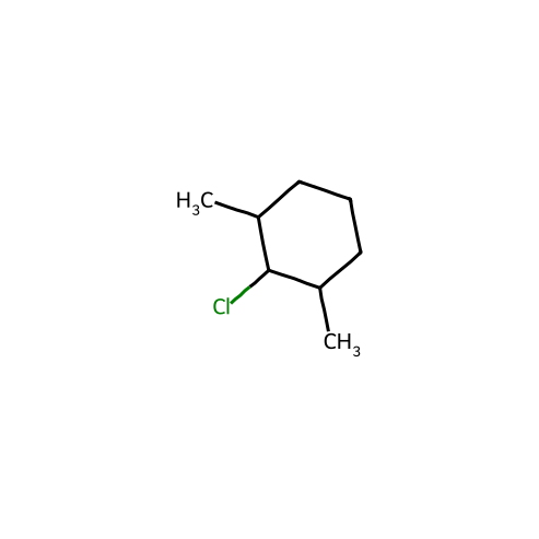 CC1CCCC(C)C1Cl